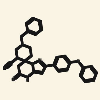 N#CC1CN(Cc2ccccc2)CCC12CC(=O)Nc1cc(-c3ccc(Oc4ccccc4)cc3)nn12